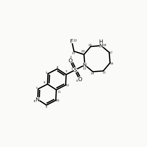 O=S(=O)(c1ccc2cnccc2c1)N1CCCCNCC1CF